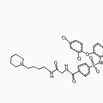 O=C(CNC(=O)c1ccc(S(=O)(=O)Nc2ccccc2Oc2ccc(Cl)cc2Cl)cc1)NCCCCN1CCCCC1